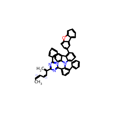 C=C(/C=C\C=C/C)c1nc(-c2ccccc2)nc(-c2cccc(-c3ccccc3)c2-n2c3ccccc3c3c(-c4ccc5oc6ccccc6c5c4)cccc32)n1